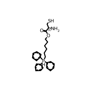 N[C@H](CS)C(=O)OCCCCCC[PH](c1ccccc1)(c1ccccc1)c1ccccc1